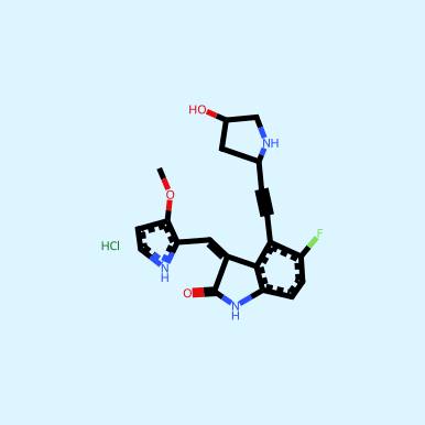 COc1cc[nH]c1C=C1C(=O)Nc2ccc(F)c(C#CC3CC(O)CN3)c21.Cl